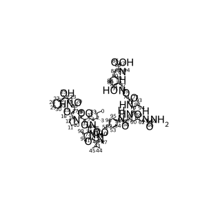 CC[C@H](C)[C@@H]([C@@H](CC(=O)N1CCC[C@H]1[C@H](OC)[C@@H](C)C(=O)N[C@H](C)[C@@H](O)c1ccccc1)OC)N(C)C(=O)[C@@H](NC(=O)C(C(C)C)N(C)C(=O)OCc1ccc(NC(=O)[C@H](CCCNC(N)=O)NC(=O)[C@@H](NC(=O)CO/N=C/c2cc(C[C@H](NC)C(=O)O)ccc2O)C(C)C)cc1)C(C)C